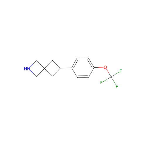 FC(F)(F)Oc1ccc(C2CC3(CNC3)C2)cc1